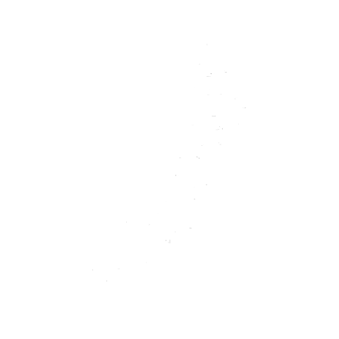 CCc1c(-c2ccc(OC)c(OC)c2)[nH]c2ccc(C3CCN(C(=O)CN4CCCC(C(=O)N(CC)CC)C4)CC3)cc12